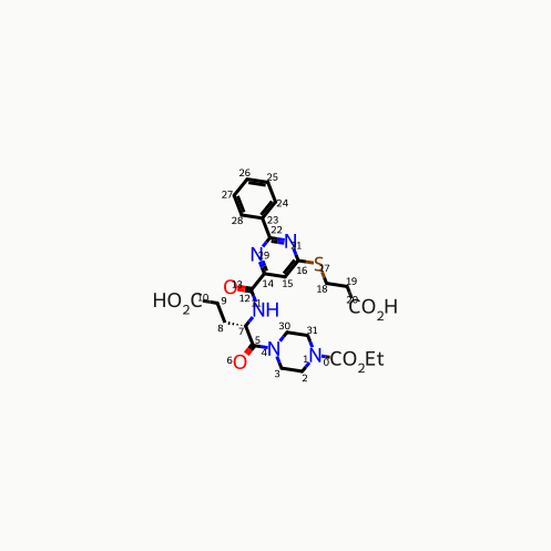 CCOC(=O)N1CCN(C(=O)[C@H](CCC(=O)O)NC(=O)c2cc(SCCC(=O)O)nc(-c3ccccc3)n2)CC1